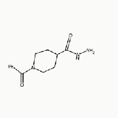 CC(C)C(=O)N1CCC(C(=O)NN)CC1